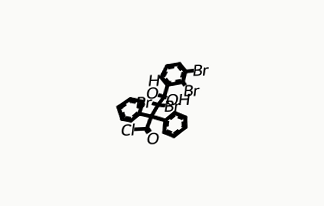 O=C(Cl)C(c1ccccc1)(c1ccccc1)C(Br)(Br)C(O)(O)c1cccc(Br)c1Br